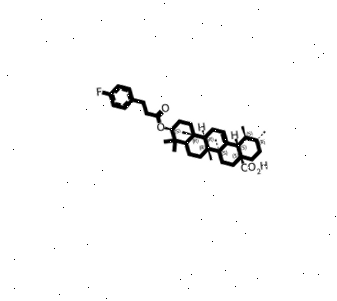 C[C@H]1[C@H](C)CC[C@]2(C(=O)O)CC[C@]3(C)C(=CC[C@@H]4[C@@]5(C)CC[C@H](OC(=O)CCc6ccc(F)cc6)C(C)(C)C5CC[C@]43C)[C@H]12